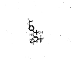 CC(C)(O)[C@@H](Nc1cc(C(F)(F)F)nc2ncnn12)c1ccc(OC(F)F)cc1